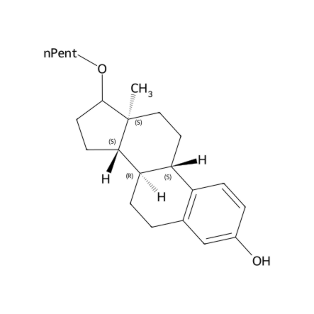 CCCCCOC1CC[C@H]2[C@@H]3CCc4cc(O)ccc4[C@H]3CC[C@]12C